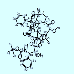 CO[C@H]1C(=O)[C@]2(C)CC[C@H]3OC[C@]34B(C(C)=O)[C@]24[C@H](OC(=O)c2ccccc2)[C@]23OC(=O)O[C@H]2[C@H](OC(=O)[C@H](O)[C@@H](NC(=O)OC(C)(C)C)c2ccccc2)C(C)=C1C3(C)C